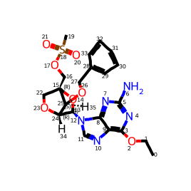 CCOc1nc(N)nc2c1ncn2[C@@H]1O[C@@]2(COS(C)(=O)=O)CO[C@@H]1[C@@H]2OCc1ccccc1